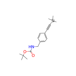 CC(C)(C)OC(=O)NCc1ccc(C#C[Si](C)(C)C)cc1